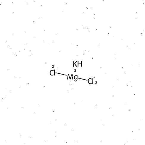 [Cl][Mg][Cl].[KH]